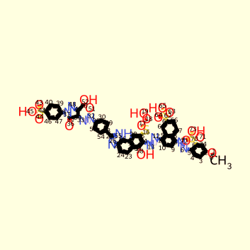 COc1ccc(/N=N/c2ccc(/N=N/c3c(SOOO)cc4c(ccc5nc(-c6ccc(/N=N/C7C(=O)N(c8ccc(S(=O)(=O)O)cc8)N=C7C(=O)O)cc6)[nH]c54)c3O)c3cc(S(=O)(=O)O)ccc23)c(S(=O)(=O)O)c1